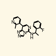 Cc1ncccc1-c1cnc(NC(C)c2ccccc2F)n2cnnc12